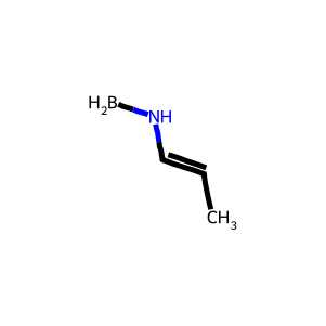 BNC=CC